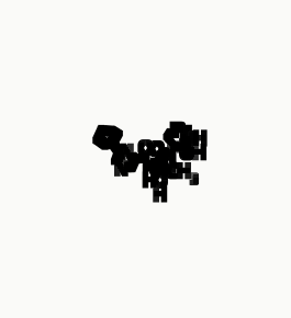 CC(C)C[C@H](NC(=O)C(NC(=O)c1cncc(-c2ccccc2)n1)[C@@H](C)O)B(O)O